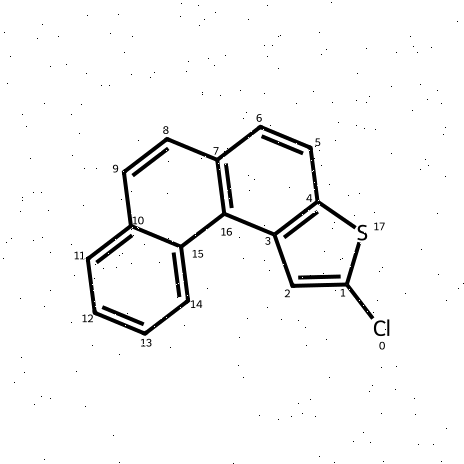 Clc1cc2c(ccc3ccc4ccccc4c32)s1